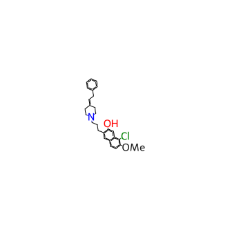 COc1ccc2cc(CCCN3CCC(=CCc4ccccc4)CC3)c(O)cc2c1Cl